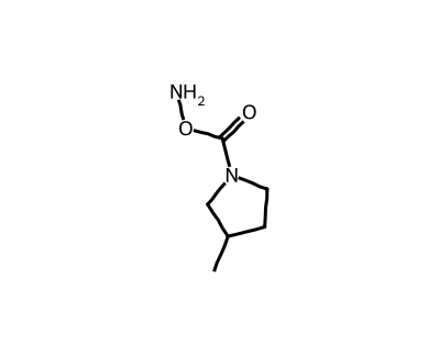 CC1CCN(C(=O)ON)C1